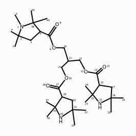 CN1C(C)(C)CC(C(=O)OCC(COC(=O)C2CC(C)(C)NC2(C)C)COC(=O)C2CC(C)(C)NC2(C)C)C1(C)C